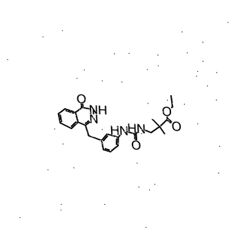 CCOC(=O)C(C)(C)CNC(=O)Nc1cccc(Cc2n[nH]c(=O)c3ccccc23)c1